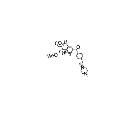 COCCC1(N)c2ccc(C(=O)c3ccc(C=NN4CCN(C)CC4)cc3)cc2CCC1CC(=O)O